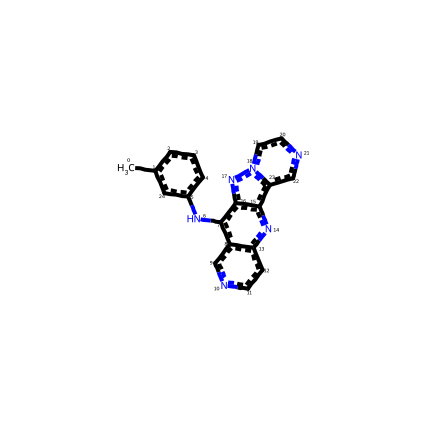 Cc1cccc(Nc2c3cnccc3nc3c2nn2ccncc32)c1